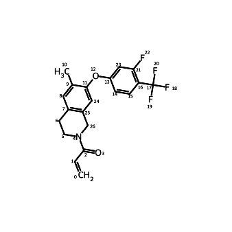 C=CC(=O)N1CCc2cc(C)c(Oc3ccc(C(F)(F)F)c(F)c3)cc2C1